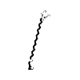 CCO[SiH](CCCCCCCCCCCCCCCOCC1CO1)OCC